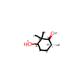 C[C@@H]1CCC(O)C(C)(C)C1=O